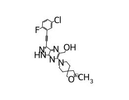 C[C@H]1CC2(CCN(c3nc4[nH]nc(C#Cc5cc(Cl)ccc5F)c4nc3CO)CC2)CO1